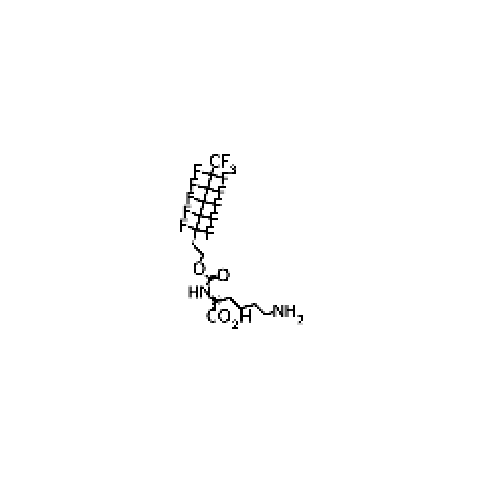 NCCCC[C@H](NC(=O)OCCC(F)(F)C(F)(F)C(F)(F)C(F)(F)C(F)(F)C(F)(F)F)C(=O)O